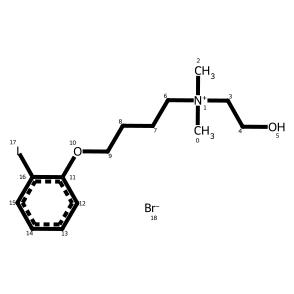 C[N+](C)(CCO)CCCCOc1ccccc1I.[Br-]